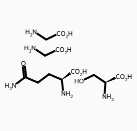 NC(=O)CC[C@H](N)C(=O)O.NCC(=O)O.NCC(=O)O.N[C@@H](CO)C(=O)O